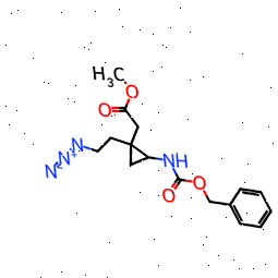 COC(=O)CC1(CCN=[N+]=[N-])CC1NC(=O)OCc1ccccc1